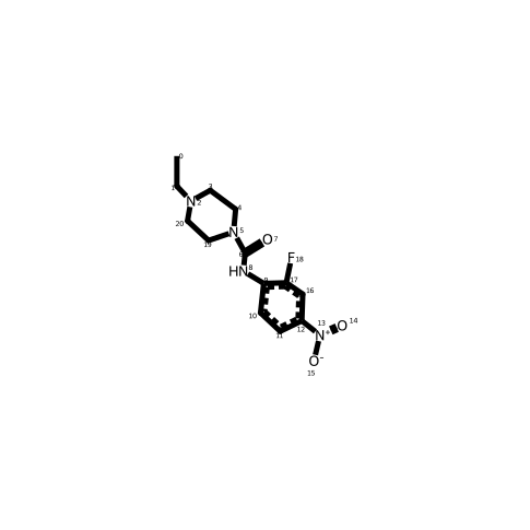 CCN1CCN(C(=O)Nc2ccc([N+](=O)[O-])cc2F)CC1